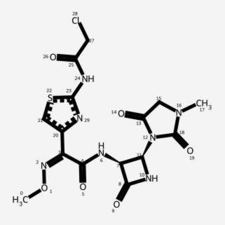 CO/N=C(\C(=O)N[C@@H]1C(=O)N[C@@H]1N1C(=O)CN(C)C1=O)c1csc(NC(=O)CCl)n1